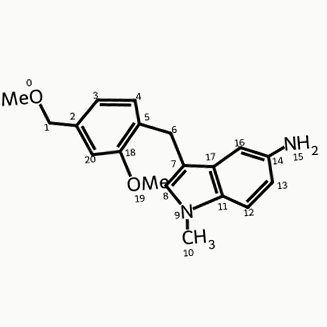 COCc1ccc(Cc2cn(C)c3ccc(N)cc23)c(OC)c1